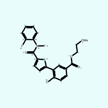 COCCOC(=O)c1ccc(Cl)c(-c2ccc(C(=O)N(F)c3ccccc3F)s2)c1